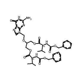 CC(C)[C@H](NC(=O)OCc1ccccc1)C(=O)OCC(COC(=O)[C@@H](NC(=O)OCc1ccccc1)C(C)C)OCn1cnc2c(=O)[nH]c(N)nc21